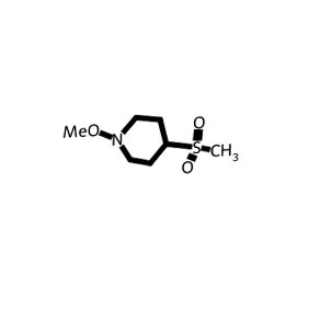 CON1CCC(S(C)(=O)=O)CC1